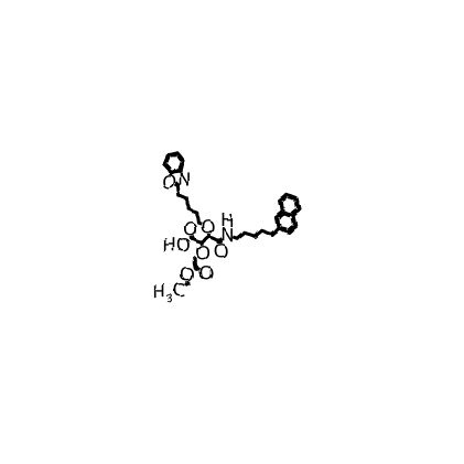 CCOC(=O)COC(C(=O)O)C(OCCCCCc1nc2ccccc2o1)C(=O)NCCCCCc1ccc2ccccc2c1